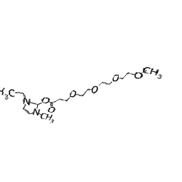 CCN1C=CN(C)C1OC(=O)CCOCCOCCOCCOC